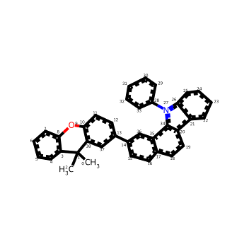 CC1(C)c2ccccc2Oc2ccc(-c3ccc4ccc5c6ccccc6n(-c6ccccc6)c5c4c3)cc21